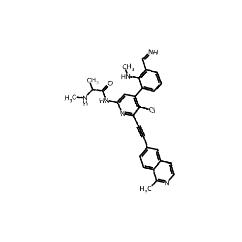 CNc1c(C=N)cccc1-c1cc(NC(=O)C(C)NC)nc(C#Cc2ccc3c(C)nccc3c2)c1Cl